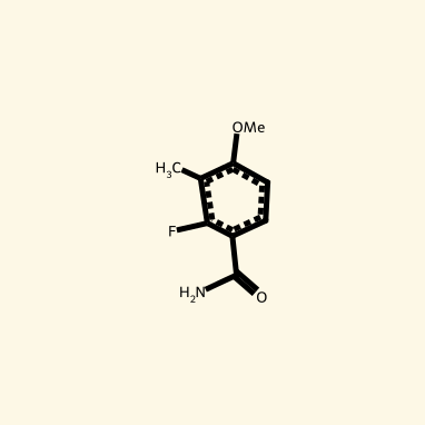 COc1ccc(C(N)=O)c(F)c1C